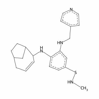 CNSc1ccc(NC2C=CCC3CCC2C3)c(NCc2ccncc2)c1